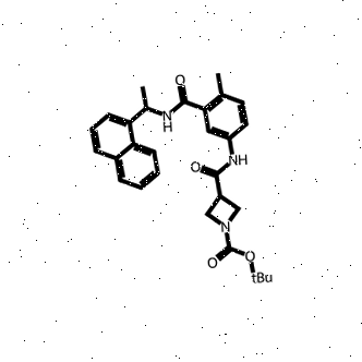 Cc1ccc(NC(=O)C2CN(C(=O)OC(C)(C)C)C2)cc1C(=O)NC(C)c1cccc2ccccc12